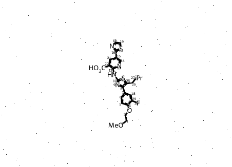 COCCOc1ccc(-c2nc(Nc3ncc(-c4nccs4)cc3C(=O)O)sc2CC(C)C)cc1F